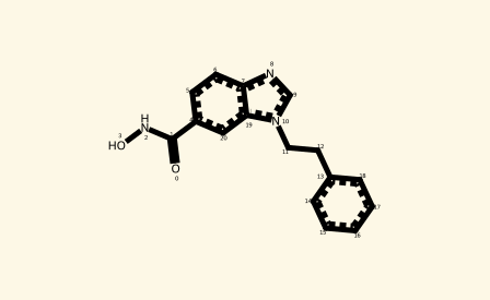 O=C(NO)c1ccc2ncn(CCc3ccccc3)c2c1